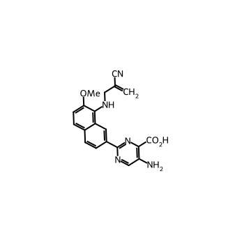 C=C(C#N)CNc1c(OC)ccc2ccc(-c3ncc(N)c(C(=O)O)n3)cc12